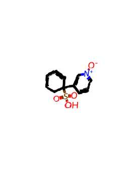 O=S(=O)(O)C1(c2ccc[n+]([O-])c2)C=CC=CC1